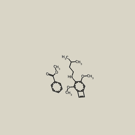 COC(=O)c1ccccc1.COc1cc2c(c(OC)c1NCCC(C)C)C=C2